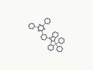 c1ccc(-c2nc(-c3ccccc3)nc(-c3cccc(-n4c5c(c6ccccc64)C(c4ccccc4)(c4ccccc4)c4ccccc4-5)c3)n2)cc1